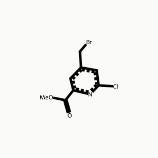 COC(=O)c1cc(CBr)cc(Cl)n1